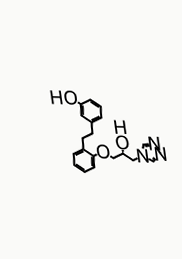 Oc1cccc(CCc2ccccc2OC[C@@H](O)Cn2cnnc2)c1